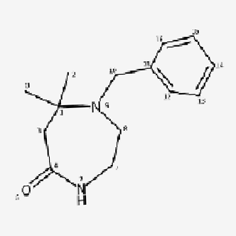 CC1(C)CC(=O)NCCN1Cc1ccccc1